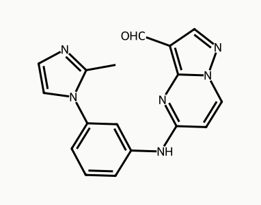 Cc1nccn1-c1cccc(Nc2ccn3ncc(C=O)c3n2)c1